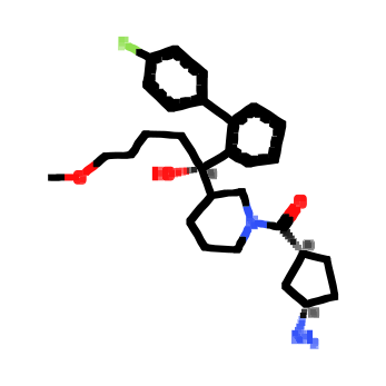 COCCCC[C@@](O)(c1ccccc1-c1ccc(F)cc1)C1CCCN(C(=O)[C@@H]2CC[C@H](N)C2)C1